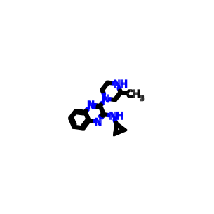 CC1CN(c2nc3ccccc3nc2NC2CC2)CCN1